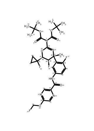 CC(C)(C)OC(=O)N(C(=O)OC(C)(C)C)C1=N[C@](C)(c2cc(NC(=O)c3cnc(OCF)cn3)ccc2F)[C@@H](F)[C@@H](C2(F)CC2)O1